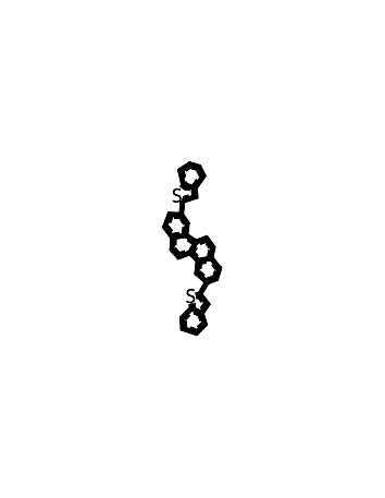 c1ccc2sc(-c3ccc4ccc5c6cc(-c7cc8ccccc8s7)ccc6ccc5c4c3)cc2c1